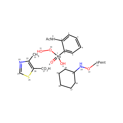 CC(=O)Nc1ccccc1[As](=O)(O)OO.CCCCCONC1CCCCC1.Cc1ncsc1C(=O)O